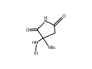 CCCCC1(NCC)CC(=O)NC1=O